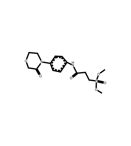 COP(=O)(CCC(=O)Nc1ccc(N2CCOCC2=O)cc1)OC